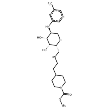 CC(C)(C)OC(=O)N1CCC(CCNC[C@H]2OC[C@H](Nc3cncc(C(F)(F)F)n3)[C@@H](O)[C@H]2O)CC1